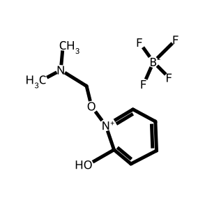 CN(C)CO[n+]1ccccc1O.F[B-](F)(F)F